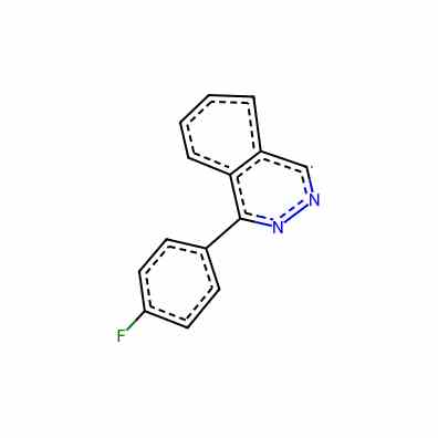 Fc1ccc(-c2nn[c]c3ccccc23)cc1